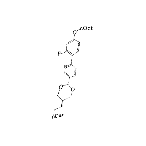 CCCCCCCCCCCC[C@H]1CO[C@H](c2ccc(-c3ccc(OCCCCCCCC)cc3F)nc2)OC1